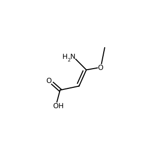 COC(N)=CC(=O)O